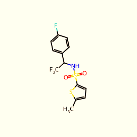 Cc1ccc(S(=O)(=O)NC(c2ccc(F)cc2)C(F)(F)F)s1